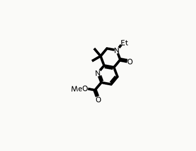 CCN1CC(C)(C)c2nc(C(=O)OC)ccc2C1=O